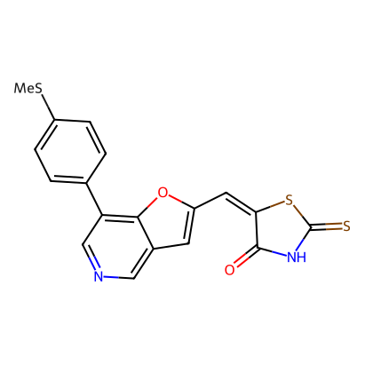 CSc1ccc(-c2cncc3cc(/C=C4/SC(=S)NC4=O)oc23)cc1